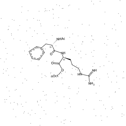 CCCCCCCCOC(=O)[C@H](CCCNC(=N)N)NC(=O)[C@H](Cc1ccccc1)NC(C)=O